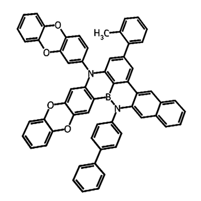 Cc1ccccc1-c1cc2c3c(c1)N(c1ccc4c(c1)Oc1ccccc1O4)c1cc4c(cc1B3N(c1ccc(-c3ccccc3)cc1)c1cc3ccccc3cc1-2)Oc1ccccc1O4